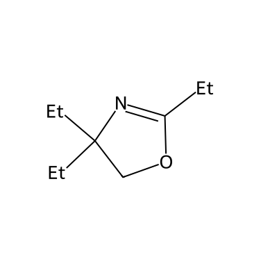 CCC1=NC(CC)(CC)CO1